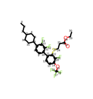 CCCC1CCC(c2ccc(-c3ccc(OC(F)(F)F)c(F)c3SCCC(=O)OCC)c(F)c2F)CC1